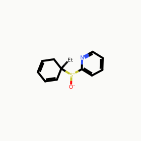 CCC1([S+]([O-])c2ccccn2)C=CC=CC1